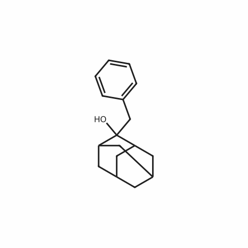 OC1(Cc2ccccc2)C2CC3CC(C2)CC1C3